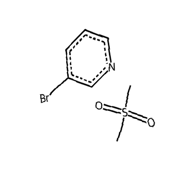 Brc1cccnc1.CS(C)(=O)=O